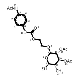 CC[C@H]1O[C@@H](OCCOC(=O)Oc2ccc(NC(C)=O)cc2)[C@H](OC(C)=O)[C@@H](OC(C)=O)[C@@H]1C